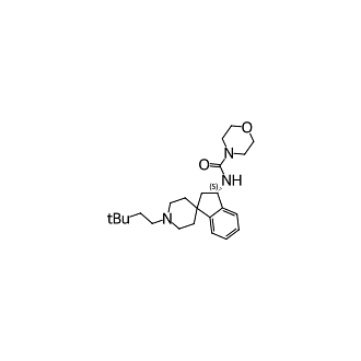 CC(C)(C)CCN1CCC2(CC1)C[C@H](NC(=O)N1CCOCC1)c1ccccc12